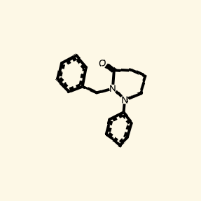 O=C1CCCN(c2ccccc2)N1Cc1ccccc1